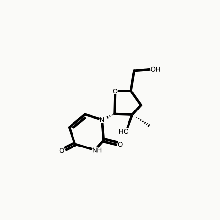 C[C@@]1(O)CC(CO)O[C@H]1n1ccc(=O)[nH]c1=O